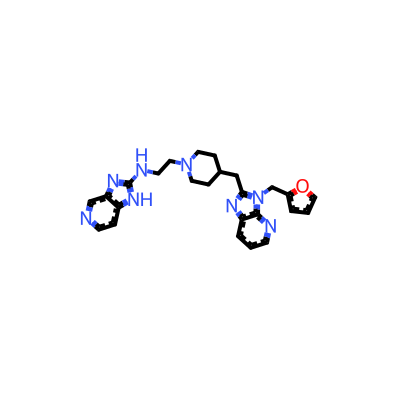 c1coc(Cn2c(CC3CCN(CCNc4nc5cnccc5[nH]4)CC3)nc3cccnc32)c1